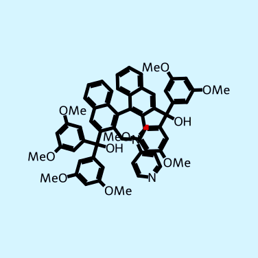 COc1cc(OC)cc(C(O)(c2cc(OC)cc(OC)c2)c2cc3ccccc3c3c2CN(c2ccncc2)Cc2c(C(O)(c4cc(OC)cc(OC)c4)c4cc(OC)cc(OC)c4)cc4ccccc4c2-3)c1